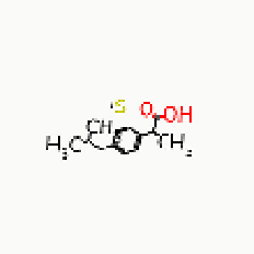 CC(C)Cc1ccc(C(C)C(=O)O)cc1.[S]